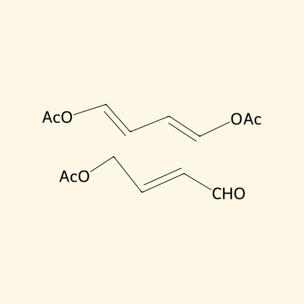 CC(=O)OC=CC=COC(C)=O.CC(=O)OCC=CC=O